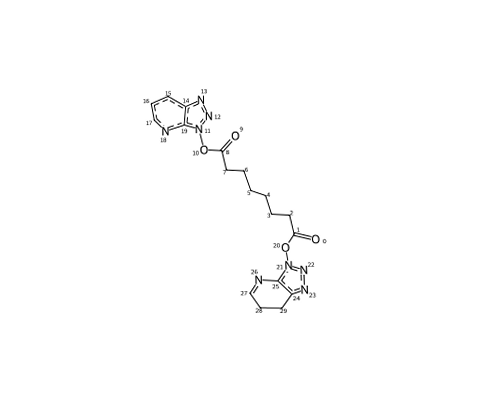 O=C(CCCCCCC(=O)On1nnc2cccnc21)On1nnc2c1N=CCC2